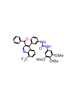 COc1cc(NC(=O)Nc2cccc(-c3c(C(=O)c4ccccc4)cnc4c(C(F)(F)F)cccc34)c2)cc(OC)c1OC